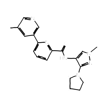 Cc1cncc(-c2cccc(C(=O)Nc3cn(C)nc3N3CCCC3)n2)c1